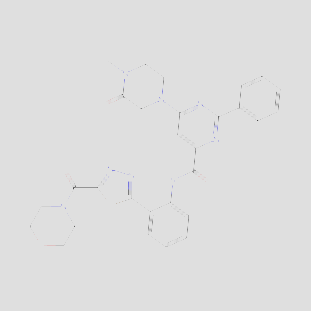 CN1CCN(c2cc(C(=O)Nc3ccccc3-c3nnc(C(=O)N4CCOCC4)s3)nc(-c3ccccc3)n2)CC1=O